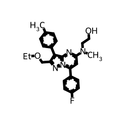 CCOCc1nn2c(-c3ccc(F)cc3)cc(N(C)CCO)nc2c1-c1ccc(C)cc1